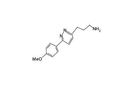 COc1ccc(-c2ccc(CCCN)nn2)cc1